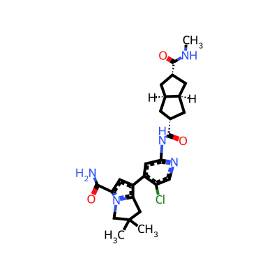 CNC(=O)[C@H]1C[C@@H]2C[C@@H](C(=O)Nc3cc(-c4cc(C(N)=O)n5c4CC(C)(C)C5)c(Cl)cn3)C[C@@H]2C1